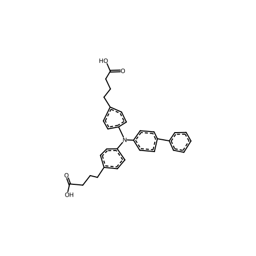 O=C(O)CCCc1ccc(N(c2ccc(CCCC(=O)O)cc2)c2ccc(-c3ccccc3)cc2)cc1